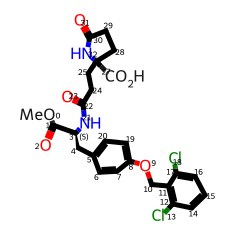 COC(=O)[C@H](Cc1ccc(OCc2c(Cl)cccc2Cl)cc1)NC(=O)CCC1(C(=O)O)CCC(=O)N1